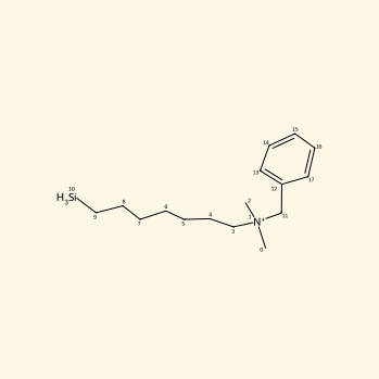 C[N+](C)(CCCCCCC[SiH3])Cc1ccccc1